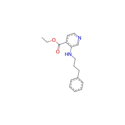 CCOC(=O)c1ccncc1NCCCc1ccccc1